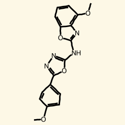 COc1ccc(-c2nnc(Nc3nc4c(OC)cccc4o3)o2)cc1